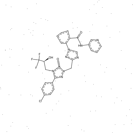 O=C(Nc1cccnc1)c1ccccc1-n1cnc(Cn2nc(-c3ccc(Cl)cc3)n(C[C@H](O)C(F)(F)F)c2=O)n1